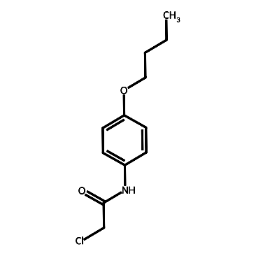 CCCCOc1ccc(NC(=O)CCl)cc1